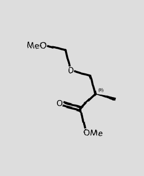 COCOC[C@@H](C)C(=O)OC